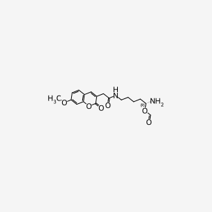 COc1ccc2cc(CC(=O)NCCCC[C@H](N)OC=O)c(=O)oc2c1